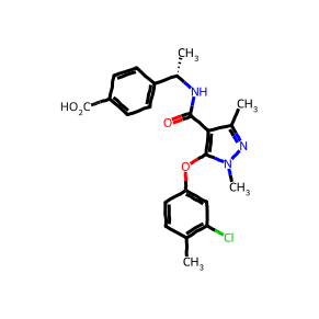 Cc1ccc(Oc2c(C(=O)N[C@@H](C)c3ccc(C(=O)O)cc3)c(C)nn2C)cc1Cl